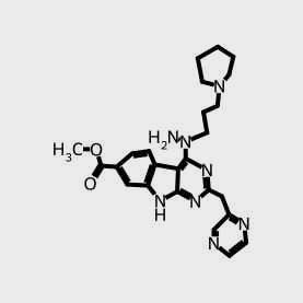 COC(=O)c1ccc2c(c1)[nH]c1nc(Cc3cnccn3)nc(N(N)CCCN3CCCCC3)c12